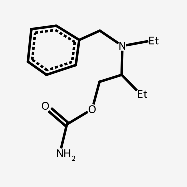 CCC(COC(N)=O)N(CC)Cc1ccccc1